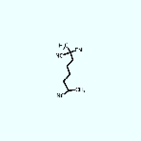 CC(C#N)CCCCC(C)(C#N)C#N